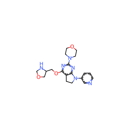 c1cncc(N2CCc3c(OCC4COCN4)nc(N4CCOCC4)nc32)c1